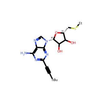 CCCCC#Cc1nc(N)c2ncn([C@@H]3O[C@H](CSCC)C(O)C3O)c2n1